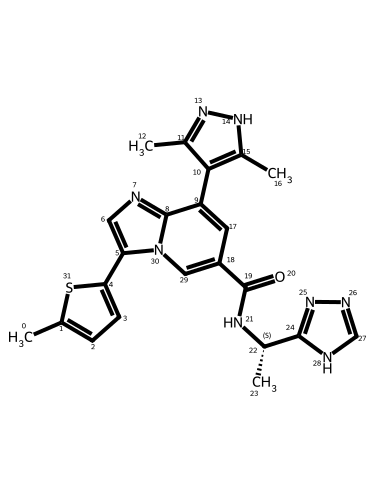 Cc1ccc(-c2cnc3c(-c4c(C)n[nH]c4C)cc(C(=O)N[C@@H](C)c4nnc[nH]4)cn23)s1